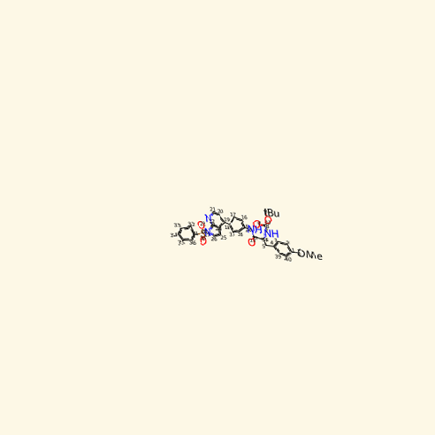 COc1ccc(C[C@H](NC(=O)OC(C)(C)C)C(=O)Nc2ccc(-c3ccnc4c3ccn4S(=O)(=O)c3ccccc3)cc2)cc1